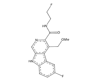 COCc1c(C(=O)NCCF)ncc2[nH]c3ccc(F)cc3c12